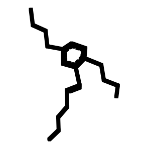 CCCCC=Cc1cc(CCCC)ccc1CCCC